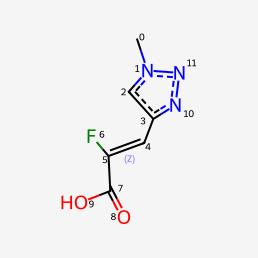 Cn1cc(/C=C(\F)C(=O)O)nn1